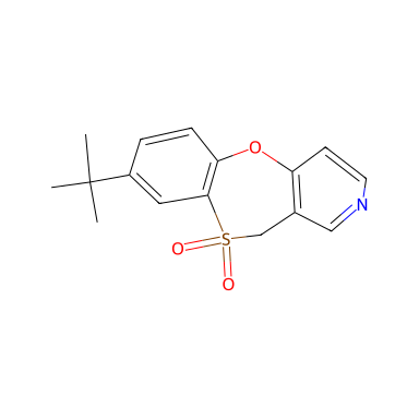 CC(C)(C)c1ccc2c(c1)S(=O)(=O)Cc1cnccc1O2